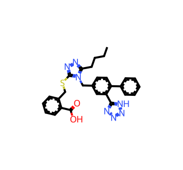 CCCCc1nnc(SCc2ccccc2C(=O)O)n1Cc1ccc(-c2ccccc2)c(-c2nnn[nH]2)c1